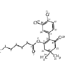 CCCCCCC(=O)OC1=C(c2ccc(Cl)c(Cl)c2)C(=O)CC(C)(C)C1